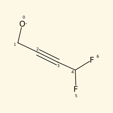 [O]CC#CC(F)F